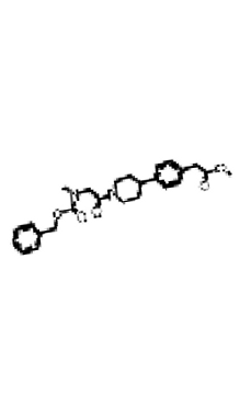 COC(=O)Cc1ccc(C2CCN(C(=O)CN(C)C(=O)OCc3ccccc3)CC2)cc1